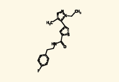 CCn1ncc(C)c1-c1csc(C(=O)NCCc2ccc(F)cc2)c1